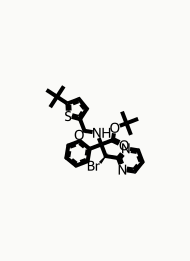 CC(C)(C)OC(=O)C(NC(=O)c1ccc(C(C)(C)C)s1)(c1ccccc1)[C@H](Br)c1ncccn1